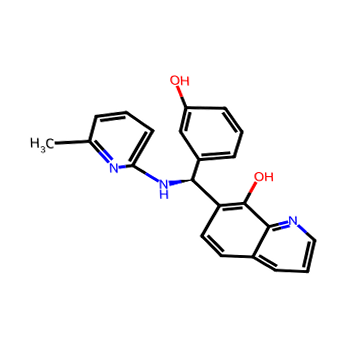 Cc1cccc(N[C@@H](c2cccc(O)c2)c2ccc3cccnc3c2O)n1